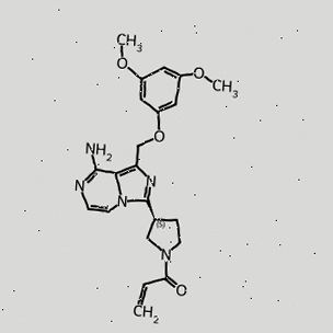 C=CC(=O)N1CC[C@H](c2nc(COc3cc(OC)cc(OC)c3)c3c(N)nccn23)C1